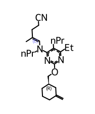 C=C1CCC[C@@H](COc2nc(CC)c(CCC)c(N(/C=C(\C)CCC#N)CCC)n2)C1